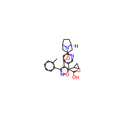 Cc1ccccc1-c1noc(C2CC2)c1COC1CC2CC[C@@H](C1)N2c1ccc(CC(=O)O)cn1